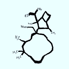 CCCCC(CC)C1(O)C2CCC2C(C)C1C1(CNC)CCCCCCCCC(C)(C)CC(C)C1